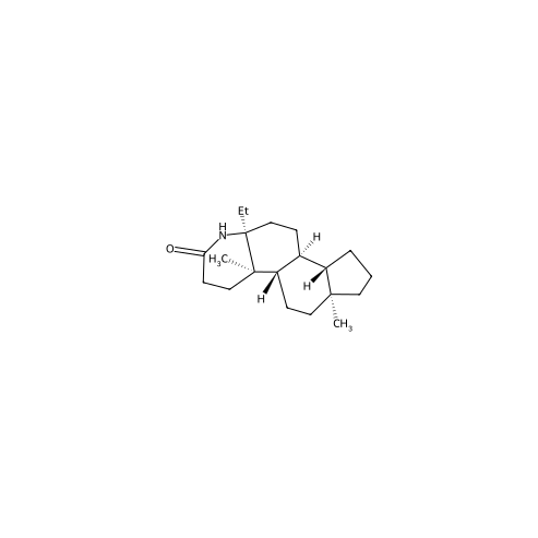 CC[C@]12CC[C@H]3[C@@H]4CCC[C@@]4(C)CC[C@@H]3[C@@]1(C)CCC(=O)N2